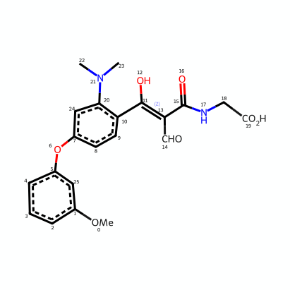 COc1cccc(Oc2ccc(/C(O)=C(\C=O)C(=O)NCC(=O)O)c(N(C)C)c2)c1